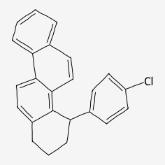 Clc1ccc(C2CCCc3ccc4c(ccc5ccccc54)c32)cc1